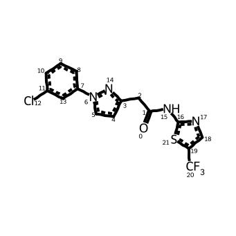 O=C(Cc1ccn(-c2cccc(Cl)c2)n1)Nc1ncc(C(F)(F)F)s1